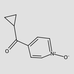 O=C(c1cc[n+]([O-])cc1)C1CC1